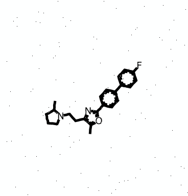 Cc1oc(-c2ccc(-c3ccc(F)cc3)cc2)nc1CCN1CCCC1C